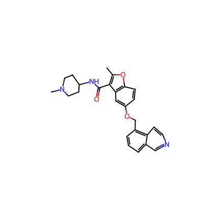 Cc1oc2ccc(OCc3cccc4cnccc34)cc2c1C(=O)NC1CCN(C)CC1